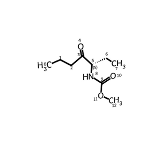 CCCC(=O)[C@H](CC)NC(=O)OC